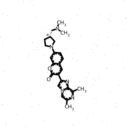 Cc1cn2cc(-c3cc4ccc(N5CC[C@H](CN(C)C)C5)cc4oc3=O)nc2c(C)n1